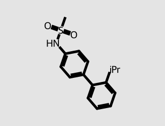 CC(C)c1ccccc1-c1ccc(NS(C)(=O)=O)cc1